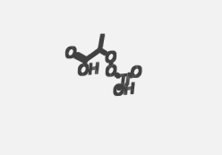 CC(O[O][Ti](=[O])[OH])C(=O)O